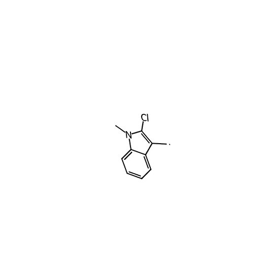 [CH2]c1c(Cl)n(C)c2ccccc12